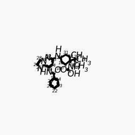 CC(C)(C)C1(NC(=O)O)CCC(Nc2cc(NC(=O)c3ccccc3)c3nccn3n2)CC1